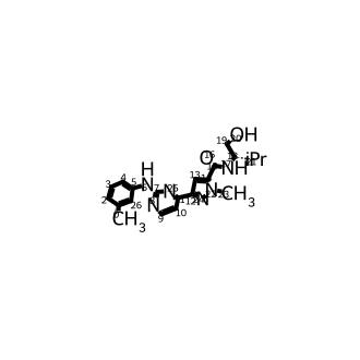 Cc1cccc(Nc2nccc(-c3cc(C(=O)N[C@H](CO)C(C)C)n(C)n3)n2)c1